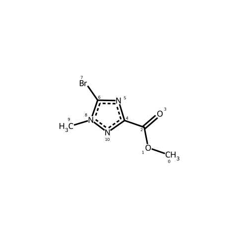 COC(=O)c1nc(Br)n(C)n1